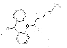 CCCCCCOc1ccccc1C(=O)c1ccccc1